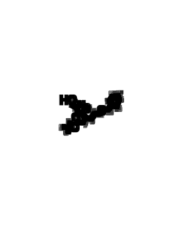 CC(C)(C)OC(=O)C[C@H](CCCOCc1ccccc1)c1cc(CO)no1